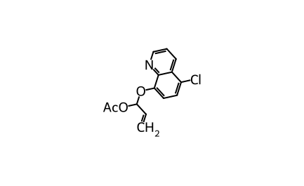 C=CC(OC(C)=O)Oc1ccc(Cl)c2cccnc12